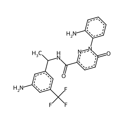 CC(NC(=O)c1ccc(=O)n(-c2ccccc2N)n1)c1cc(N)cc(C(F)(F)F)c1